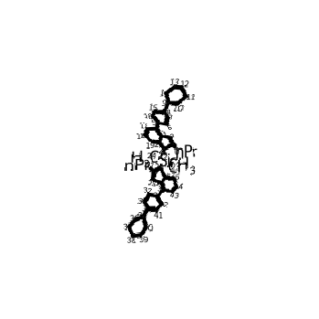 CCCC1=Cc2c(-c3ccc(C4CCCCC4)cc3)cccc2C1[Si](C)(C)C1C(CCC)=Cc2c(-c3ccc(C4CCCCC4)cc3)cccc21